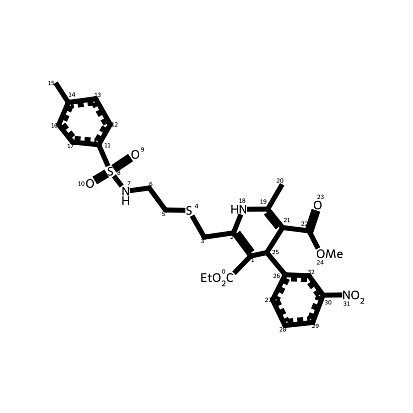 CCOC(=O)C1=C(CSCCNS(=O)(=O)c2ccc(C)cc2)NC(C)=C(C(=O)OC)C1c1cccc([N+](=O)[O-])c1